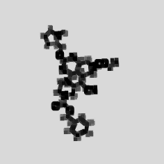 CN1CCCC1COc1nc2c(c(N3CCN(C(=O)OCc4ccccc4)CC3CC#N)n1)CCN(C(=O)O)C2